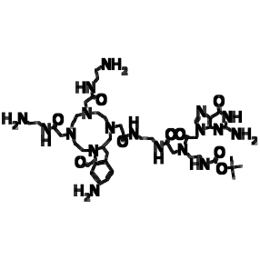 CC(C)(C)OC(=O)NCCN(CC(=O)NCCNC(=O)CN1CCN(CC(=O)NCCN)CCN(CC(=O)NCCN)CCN(CC=O)C(Cc2ccc(N)cc2)C1)C(=O)Cn1cnc2c(=O)[nH]c(N)nc21